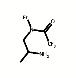 CCN(CC(C)N)C(=O)C(F)(F)F